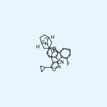 N#Cc1ccc(N2[C@@H]3CC[C@H]2CC(OCc2c(-c4c(F)cccc4F)noc2C2CC2)C3)nc1